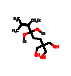 CCOC(=O)C(=C(C)C)C(CCC(CO)(CO)CO)(OCC)OCC